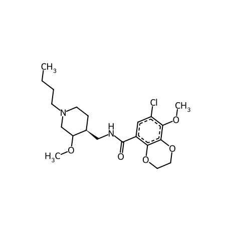 CCCCN1CC[C@@H](CNC(=O)c2cc(Cl)c(OC)c3c2OCCO3)C(OC)C1